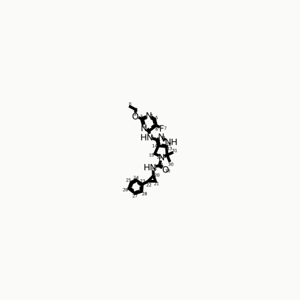 CCOc1ncc(F)c(Nc2n[nH]c3c2CN(C(=O)NC2CC2c2ccccc2)C3(C)C)n1